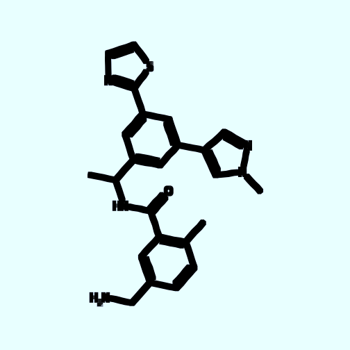 Cc1ccc(CN)cc1C(=O)NC(C)c1cc(-c2cnn(C)c2)cc(-c2nccs2)c1